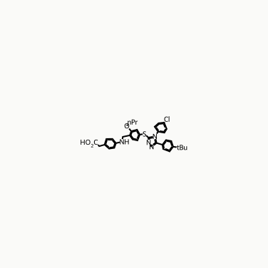 CCCOc1cc(Sc2nnc(-c3ccc(C(C)(C)C)cc3)n2-c2ccc(Cl)cc2)ccc1CNc1ccc(CC(=O)O)cc1